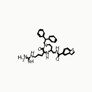 N=C(N)NCCCC1NC(CNC(=O)c2ccc3sccc3c2)CCN(CC(c2ccccc2)c2ccccc2)C1=O